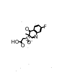 CC1([S+]([O-])CC(=O)O)C=Nc2cc(F)ccc2C1=O